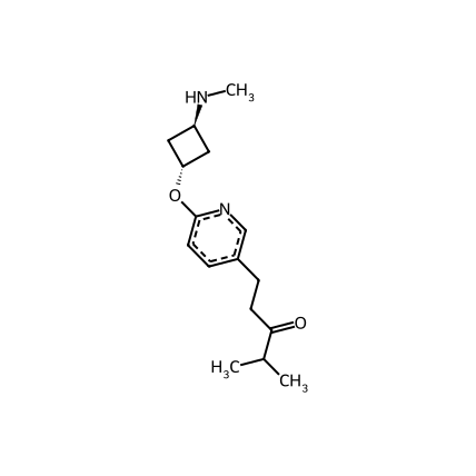 CN[C@H]1C[C@H](Oc2ccc(CCC(=O)C(C)C)cn2)C1